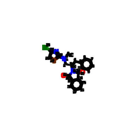 CC(=O)N(C[C@H](Cc1ccccc1)N1C(=O)c2ccccc2C1=O)c1nc(Br)cs1